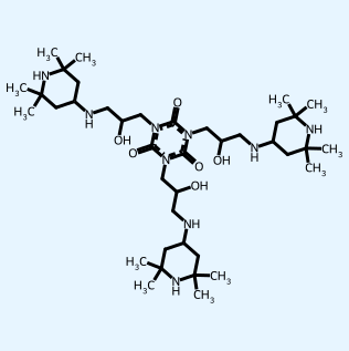 CC1(C)CC(NCC(O)Cn2c(=O)n(CC(O)CNC3CC(C)(C)NC(C)(C)C3)c(=O)n(CC(O)CNC3CC(C)(C)NC(C)(C)C3)c2=O)CC(C)(C)N1